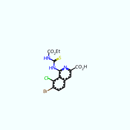 CCOC(=O)NC(=S)Nc1nc(C(=O)O)cc2ccc(Br)c(Cl)c12